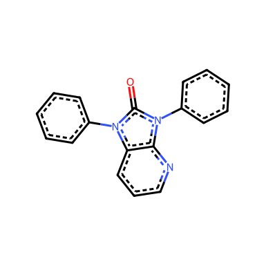 O=c1n(-c2ccccc2)c2cccnc2n1-c1ccccc1